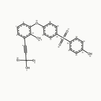 CCC(O)(C#Cc1cccc(Oc2ccc(S(=O)(=O)c3ccc(O)cc3)cc2)c1C)CC